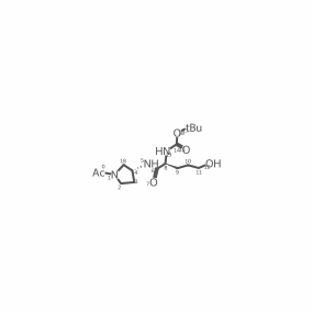 CC(=O)N1CC[C@@H](NC(=O)[C@H](CCCO)NC(=O)OC(C)(C)C)C1